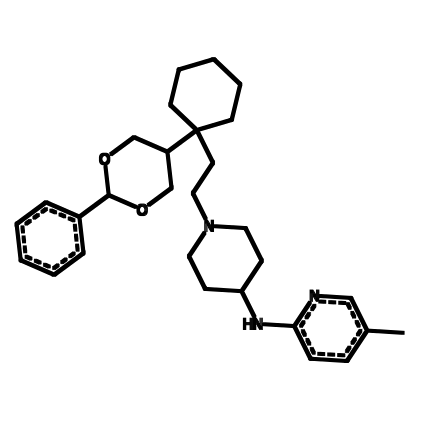 Cc1ccc(NC2CCN(CCC3(C4COC(c5ccccc5)OC4)CCCCC3)CC2)nc1